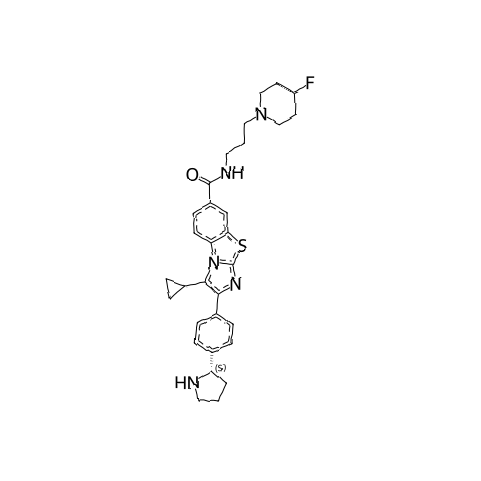 O=C(NCCCN1CCC(F)CC1)c1ccc2c(c1)sc1nc(-c3ccc([C@@H]4CCCN4)cc3)c(C3CC3)n12